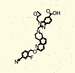 N#Cc1ccc(COc2ccc3ccc4c(c3n2)CCN(Cc2nc3ccc(C(=O)O)cc3n2CC2CCO2)C4)c(F)c1